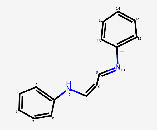 C(=C/Nc1ccccc1)/C=N/c1ccccc1